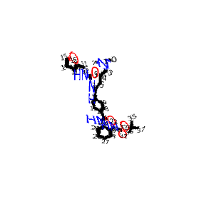 CN(C)CCCC(NC(=O)NCc1ccco1)c1ccc(C(=O)Nc2ccccc2NC(=O)OC(C)(C)C)cc1